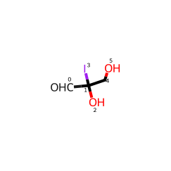 O=CC(O)(I)CO